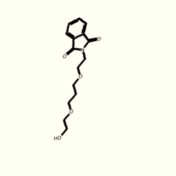 O=C1c2ccccc2C(=O)N1CCOCCCOCCO